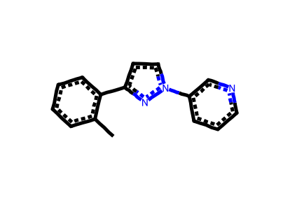 Cc1ccccc1-c1ccn(-c2cccnc2)n1